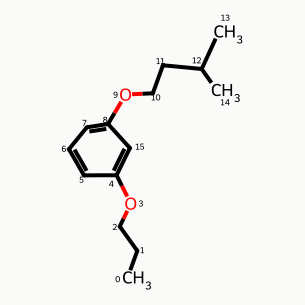 CCCOc1cccc(OCCC(C)C)c1